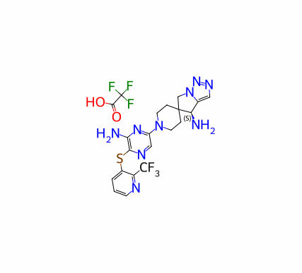 Nc1nc(N2CCC3(CC2)Cn2nncc2[C@H]3N)cnc1Sc1cccnc1C(F)(F)F.O=C(O)C(F)(F)F